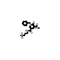 CNC(=O)c1cc(C(=O)NCCCS(C)(=O)=O)cn(Cc2ccccc2)c1=O